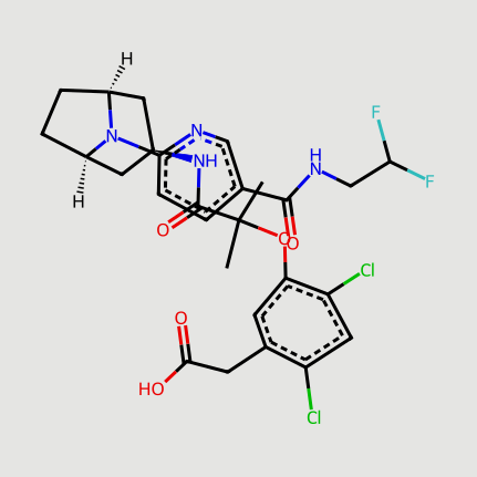 CC(C)(Oc1cc(CC(=O)O)c(Cl)cc1Cl)C(=O)N[C@H]1C[C@H]2CC[C@@H](C1)N2c1ccc(C(=O)NCC(F)F)cn1